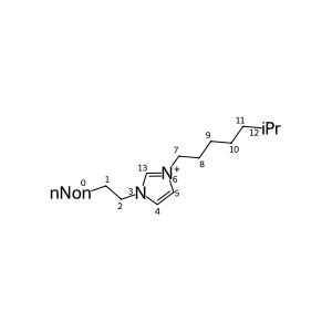 CCCCCCCCCCCn1cc[n+](CCCCCC(C)C)c1